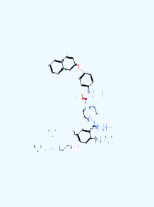 CNc1cc(OCCOC)c(OC)cc1C(=N)N1CCN(C(=O)Nc2ccc(Oc3ccc4ccccc4c3)cc2)CC1